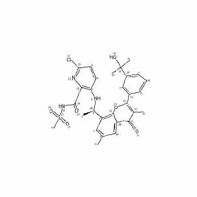 Cc1cc([C@@H](C)Nc2ccc(Cl)nc2C(=O)NS(C)(=O)=O)c2oc(-c3cccc(C(C)(C)O)c3)c(C)c(=O)c2c1